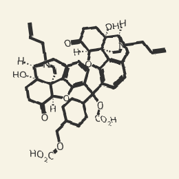 C=CCN1CC[C@]23c4c5ccc(C(OC(=O)O)(c6ccc7c8c6O[C@H]6C(=O)CC[C@@]9(O)[C@@H](C7)N(CC=C)CC[C@]869)C6CCC(COC(=O)O)CC6)c4O[C@H]2C(=O)CC[C@@]3(O)[C@H]1C5